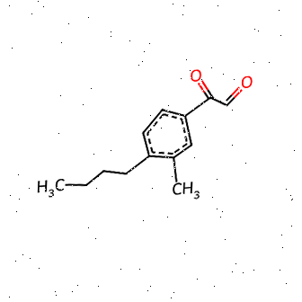 CCCCc1ccc(C(=O)C=O)cc1C